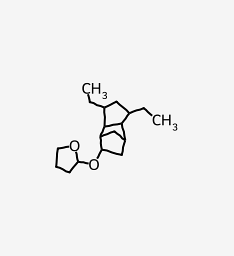 CCC1CC(CC)C2C3CC(CC3OC3CCCO3)C12